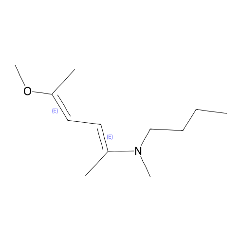 CCCCN(C)/C(C)=C/C=C(\C)OC